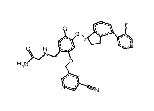 N#Cc1cncc(COc2cc(O[C@H]3CCc4c(-c5ccccc5F)cccc43)c(Cl)cc2CNCC(N)=O)c1